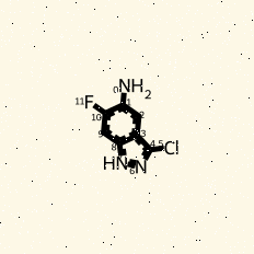 Nc1cc2c(Cl)n[nH]c2cc1F